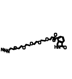 [N-]=[N+]=NCCOCCOCCOCCOCCOCCS(=O)(=O)c1cccc2c1CNC2=O